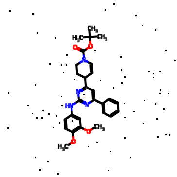 COc1ccc(Nc2nc(-c3ccccc3)cc(C3C=CN(C(=O)OC(C)(C)C)CC3)n2)cc1OC